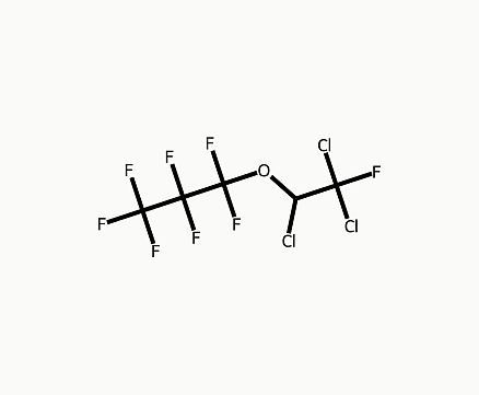 FC(Cl)(Cl)C(Cl)OC(F)(F)C(F)(F)C(F)(F)F